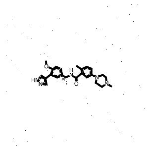 COc1ccc([C@@H](C)NC(=O)c2cc(N3CCN(C)CC3)ccc2C)cc1-c1cn[nH]c1